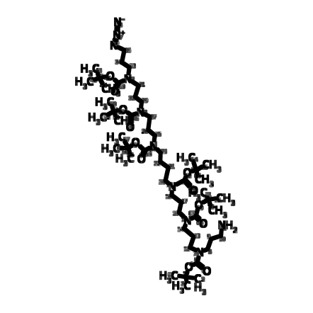 CC(C)(C)OC(=O)N(CCCN)CCCN(CCCN(CCCCN(CCCN(CCCN(CCCN=[N+]=[N-])C(=O)OC(C)(C)C)C(=O)OC(C)(C)C)C(=O)OC(C)(C)C)C(=O)OC(C)(C)C)C(=O)OC(C)(C)C